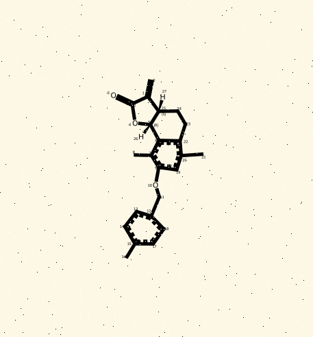 C=C1C(=O)O[C@H]2c3c(C)c(OCc4ccc(C)cc4)cc(C)c3CC[C@@H]12